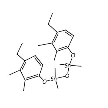 CCc1ccc([O][Sn]([CH3])([CH3])[O][Sn]([CH3])([CH3])[O]c2ccc(CC)c(C)c2C)c(C)c1C